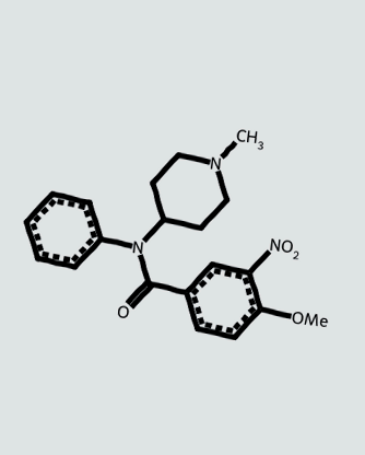 COc1ccc(C(=O)N(c2ccccc2)C2CCN(C)CC2)cc1[N+](=O)[O-]